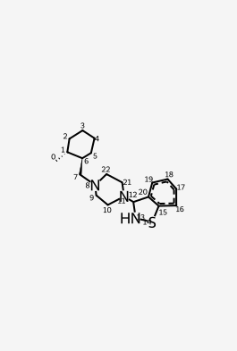 C[C@@H]1CCCC[C@H]1CN1CCN(C2NSc3ccccc32)CC1